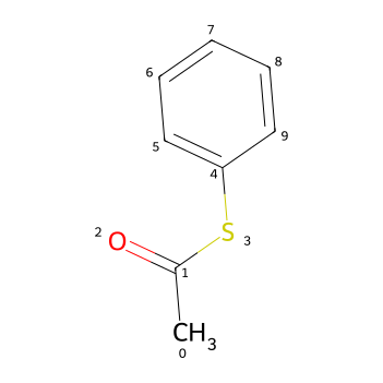 CC(=O)Sc1ccccc1